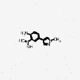 Cn1cc(-c2ccc(N)c(N(O)O)c2)cn1